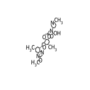 COc1cnc2c(-c3cc4c5c(cc(C)c4o3)O[C@H](CN(C(=O)O)c3ccc(C)nc3)CO5)cc(C)cc2n1